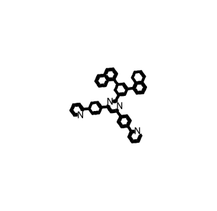 C1=Cc2cccc(C3=CC(c4cccc5ccccc45)CC(c4nc(C5=CCC(c6ccccn6)C=C5)cc(-c5ccc(-c6ccccn6)cc5)n4)=C3)c2CC1